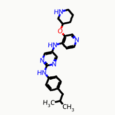 CC(C)Cc1ccc(Nc2ncc(Nc3ccncc3OC3CCCNC3)cn2)cc1